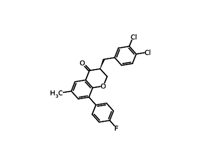 Cc1cc2c(c(-c3ccc(F)cc3)c1)OC[C@H](Cc1ccc(Cl)c(Cl)c1)C2=O